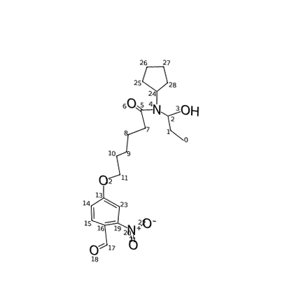 CCC(O)N(C(=O)CCCCCOc1ccc(C=O)c([N+](=O)[O-])c1)C1CCCC1